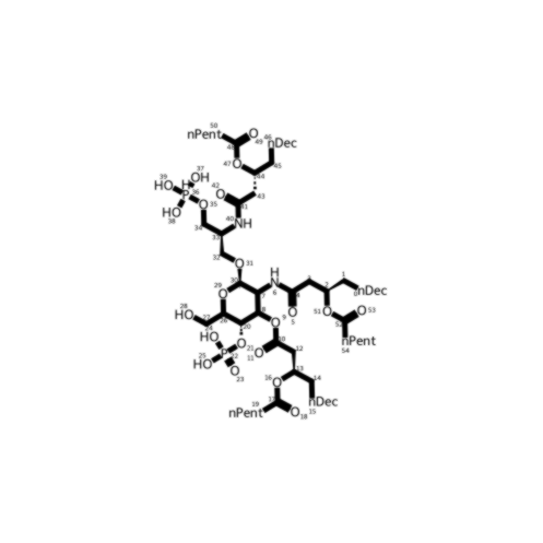 CCCCCCCCCCC[C@H](CC(=O)NC1C(OC(=O)C[C@@H](CCCCCCCCCCC)OC(=O)CCCCC)[C@H](OP(=O)(O)O)C(CO)O[C@H]1OC[C@@H](CO[PH](O)(O)O)NC(=O)C[C@@H](CCCCCCCCCCC)OC(=O)CCCCC)OC(=O)CCCCC